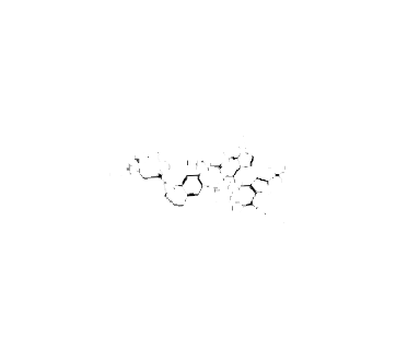 COc1cc2c(cc1Nc1nc(Nc3cc(C(F)(F)F)sc3C(N)=O)c3cc[nH]c3n1)N(C(=O)CN(C)C)CCC2